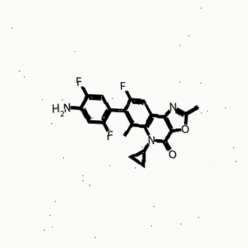 Cc1nc2c(o1)c(=O)n(C1CC1)c1c(C)c(-c3cc(F)c(N)cc3F)c(F)cc21